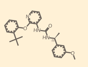 COc1cccc([C@H](C)NC(=O)Nc2cccnc2Oc2ccccc2C(C)(C)C)c1